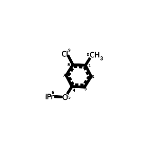 Cc1ccc(OC(C)C)cc1Cl